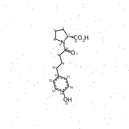 O=C(O)[C@@H]1CCCN1C(=O)CCCc1ccc(O)cc1